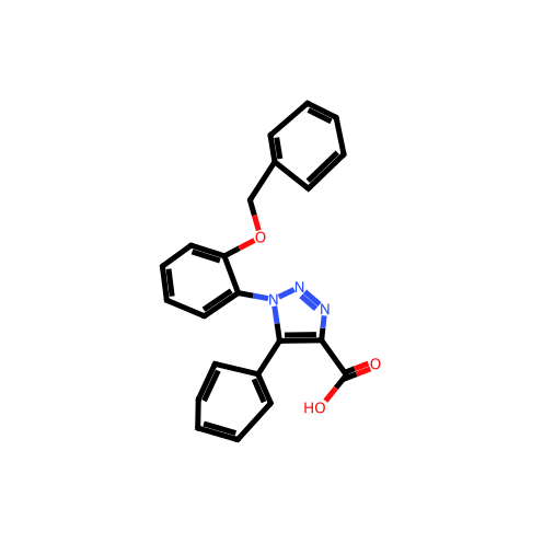 O=C(O)c1nnn(-c2ccccc2OCc2ccccc2)c1-c1ccccc1